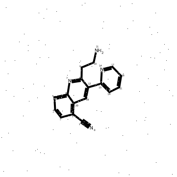 N#Cc1cccc2nc(CCN)c(-c3ccccn3)cc12